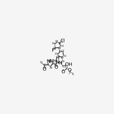 CCOC(=O)[C@H](O)CN(Cc1ccc(-c2cc(Cl)ccc2F)cc1)NC(=O)c1cc(C(C)=O)n[nH]1